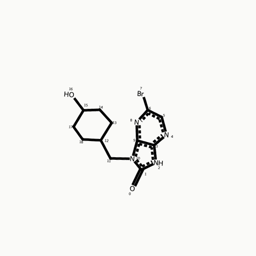 O=c1[nH]c2ncc(Br)nc2n1CC1CCC(O)CC1